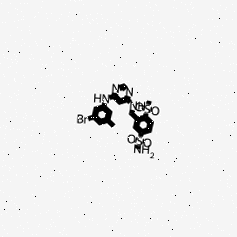 Cc1cc(Br)cc(Nc2cc(NCc3cc(S(N)(=O)=O)ccc3S(C)(=O)=O)ncn2)c1